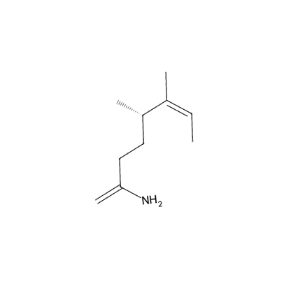 C=C(N)CC[C@H](C)/C(C)=C\C